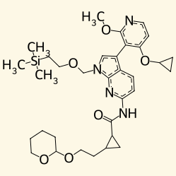 COc1nccc(OC2CC2)c1-c1cn(COCC[Si](C)(C)C)c2nc(NC(=O)C3CC3CCOC3CCCCO3)ccc12